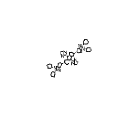 c1ccc(-c2nc3cc(-c4ccc5c(-c6ncccn6)c6cc(-c7ccc8c(c7)nc(-c7ccccc7)n8-c7ccccc7)ccc6c(-c6ncccn6)c5c4)ccc3n2-c2ccccc2)cc1